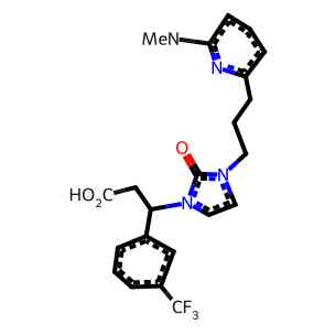 CNc1cccc(CCCn2ccn(C(CC(=O)O)c3cccc(C(F)(F)F)c3)c2=O)n1